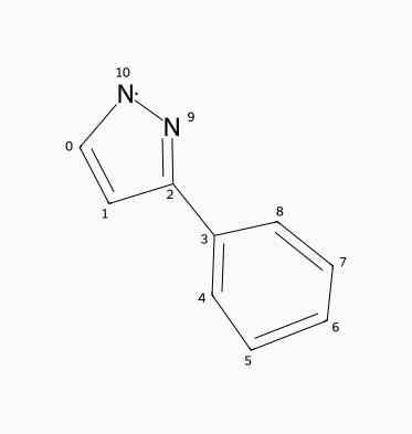 C1=CC(c2ccccc2)=N[N]1